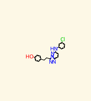 Oc1ccc(CCc2nnc3ccc(Nc4cccc(Cl)c4)nn23)cc1